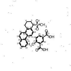 CS(=O)(=O)C1CCCc2c1ccc1c2ccc2ccccc21.Cc1ccc(C(=O)O)cc1C(=O)O